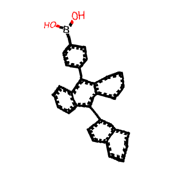 OB(O)c1ccc(-c2c3ccccc3c(-c3ccc4ccccc4c3)c3ccccc23)cc1